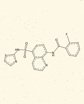 O=C(Nc1ccc(S(=O)(=O)Nc2nccs2)c2cccnc12)c1ccccc1F